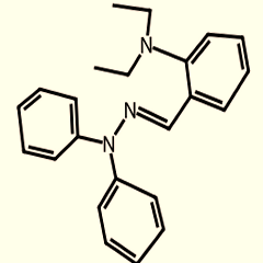 CCN(CC)c1ccccc1C=NN(c1ccccc1)c1ccccc1